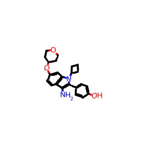 Nc1c(-c2ccc(O)cc2)n(C2CCC2)c2cc(OC3CCOCC3)ccc12